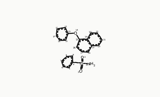 NS(=O)(=O)c1ccccc1.c1ccc(Oc2cccc3ccccc23)cc1